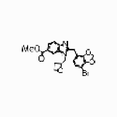 COC(=O)c1ccc2nc(Cc3ccc(Br)c4c3OCO4)n(C[C@@H]3CCO3)c2c1